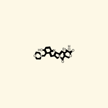 CCC1(O)C(=O)OCc2c1cc1n(c2=O)Cc2cc3c(CN4CCOCC4)c(O)ccc3nc2-1